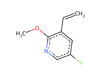 C=Cc1cc(F)cnc1OC